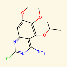 COc1cc2nc(Cl)nc(N)c2c(OC(C)C)c1OC